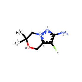 CC1(C)Cn2nc(N)c(F)c2CO1